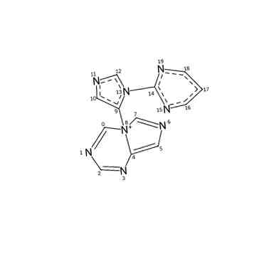 C1=NC=NC2=CN=C[N+]12c1cncn1-c1ncccn1